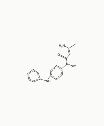 C/C(N)=C/C(=O)N(c1ccc(Nc2ccccc2)cc1)C(C)C